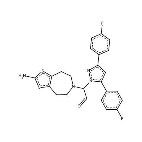 Nc1nc2c(s1)CCN(C(C=O)n1nc(-c3ccc(F)cc3)cc1-c1ccc(F)cc1)CC2